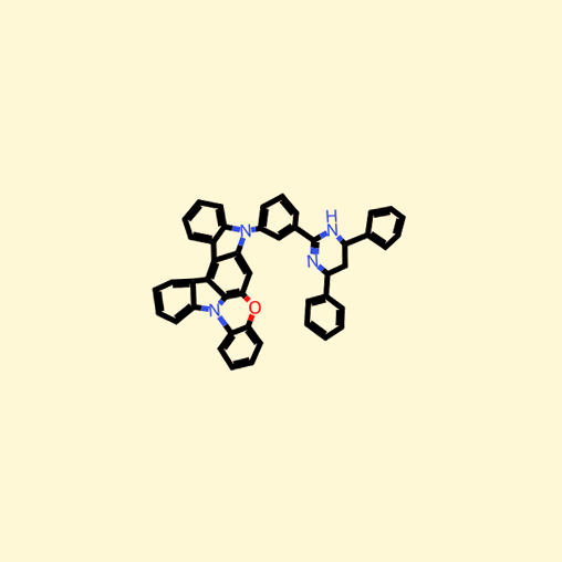 c1ccc(C2CC(c3ccccc3)NC(c3cccc(-n4c5ccccc5c5c6c7ccccc7n7c6c(cc54)Oc4ccccc4-7)c3)=N2)cc1